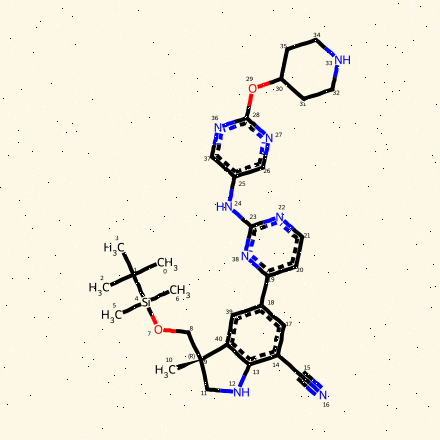 CC(C)(C)[Si](C)(C)OC[C@@]1(C)CNc2c(C#N)cc(-c3ccnc(Nc4cnc(OC5CCNCC5)nc4)n3)cc21